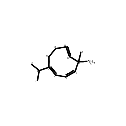 CC(C)/C1=C/C=C\C(C)(N)/C=C/CC1